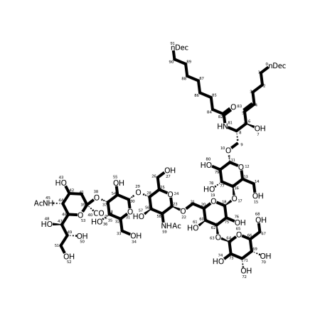 CCCCCCCCCCCCC/C=C/[C@@H](O)[C@H](CO[C@@H]1OC(CO)[C@@H](O[C@@H]2OC(CO[C@@H]3OC(CO)[C@@H](O[C@@H]4OC(CO)[C@H](O)[C@H](O[C@]5(C(=O)O)CC(O)[C@@H](NC(C)=O)C([C@H](O)[C@H](O)CO)O5)C4O)[C@H](O)C3NC(C)=O)[C@H](O)[C@H](O[C@H]3OC(CO)[C@H](O)[C@H](O)C3O)C2O)[C@H](O)C1O)NC(=O)CCCCCCCCCCCCCCCCC